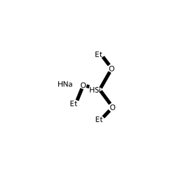 CCO[SiH](OCC)OCC.[NaH]